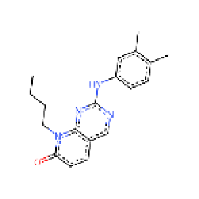 CCCCn1c(=O)ccc2cnc(Nc3ccc(C)c(C)c3)nc21